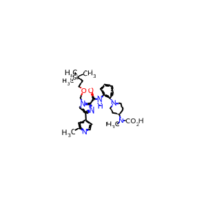 Cc1cc(-c2cn(COCC[Si](C)(C)C)c(C(=O)Nc3ccccc3N3CCC(N(C)C(=O)O)CC3)n2)ccn1